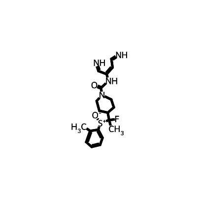 Cc1ccccc1[S+]([O-])C(C)(F)C1CCN(C(=O)N/C(C=N)=C/C=N)CC1